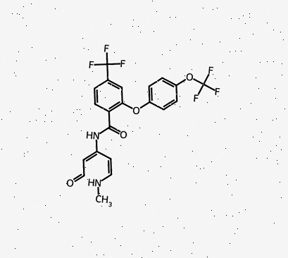 CN/C=C\C(=C/C=O)NC(=O)c1ccc(C(F)(F)F)cc1Oc1ccc(OC(F)(F)F)cc1